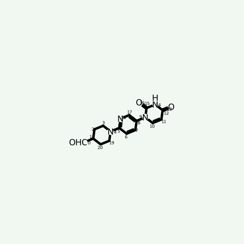 O=CC1CCN(c2ccc(-n3ccc(=O)[nH]c3=O)cn2)CC1